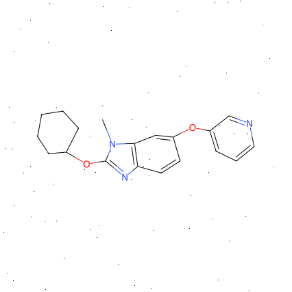 Cn1c(OC2CCCCC2)nc2ccc(Oc3cccnc3)cc21